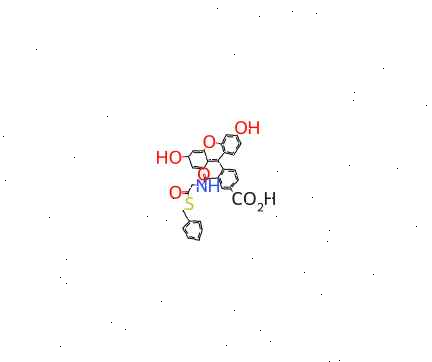 O=C(CNC(=O)c1cc(C(=O)O)ccc1C1=C2C=CC(O)C=C2Oc2cc(O)ccc21)SCc1ccccc1